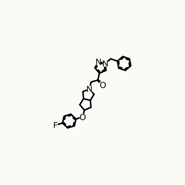 O=C(CN1CC2CC(Oc3ccc(F)cc3)CC2C1)c1cnn(Cc2ccccc2)c1